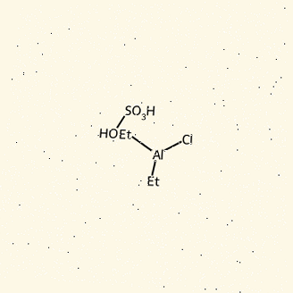 C[CH2][Al]([Cl])[CH2]C.O=S(=O)(O)O